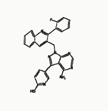 Nc1ncnc2c1c(-c1ccc(O)nc1)nn2Cc1cc2ccccc2nc1-c1ccccc1F